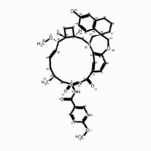 COc1ncc(C(=O)NS2(=O)=NC(=O)c3ccc4c(c3)N(C[C@@H]3CC[C@H]3[C@@H](OC)/C=C/C[C@H](C)C2)C[C@@]2(CCCc3cc(Cl)ccc32)CO4)cn1